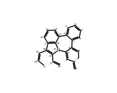 C=C/C=C1\C(=C/C)c2ccccc2-c2cccc3c(/C=C\C)c(C=C)n1c23